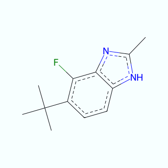 Cc1nc2c(F)c(C(C)(C)C)ccc2[nH]1